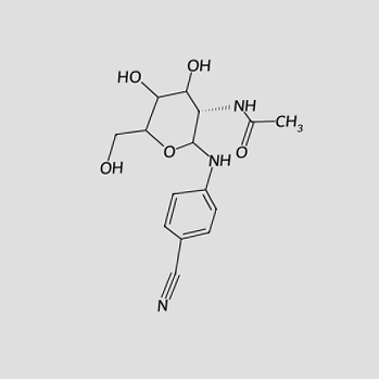 CC(=O)N[C@@H]1C(Nc2ccc(C#N)cc2)OC(CO)C(O)C1O